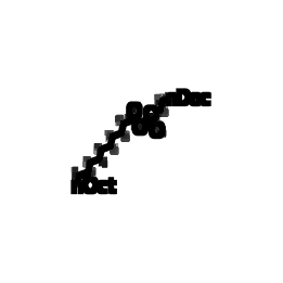 CCCCCCCCC=CCCCCCCCC(=O)OC(=O)OCCCCCCCCCCCC